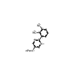 CCCCCc1cnc(-c2cccc(C#N)c2C#N)nc1